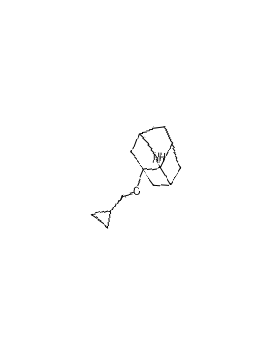 C1CC1COC12CC3CC(C1)NC(C3)C2